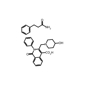 NC(=O)CCc1ccccc1.O=C(O)c1c(CN2CCC(O)CC2)n(-c2ccccc2)c(=O)c2ccccc12